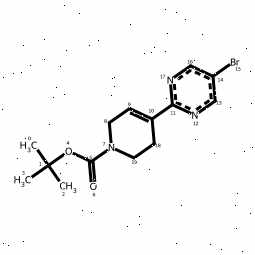 CC(C)(C)OC(=O)N1CC=C(c2ncc(Br)cn2)CC1